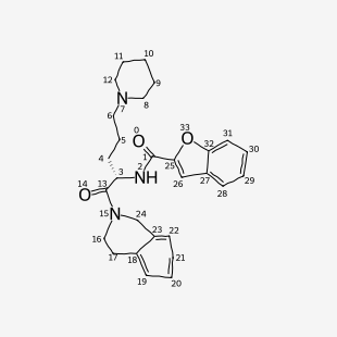 O=C(N[C@@H](CCCN1CCCCC1)C(=O)N1CCc2ccccc2C1)c1cc2ccccc2o1